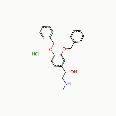 CNCC(O)c1ccc(OCc2ccccc2)c(OCc2ccccc2)c1.Cl